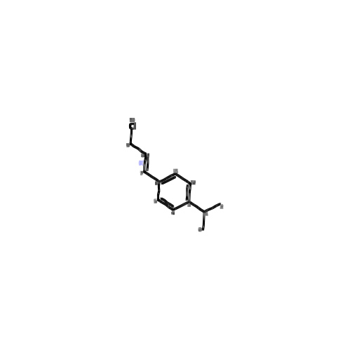 CC(C)c1ccc(/C=C/CCl)cc1